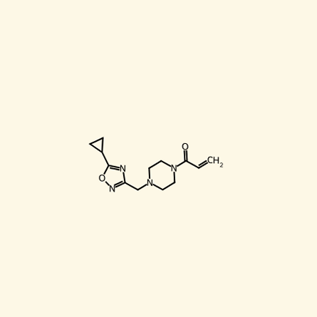 C=CC(=O)N1CCN(Cc2noc(C3CC3)n2)CC1